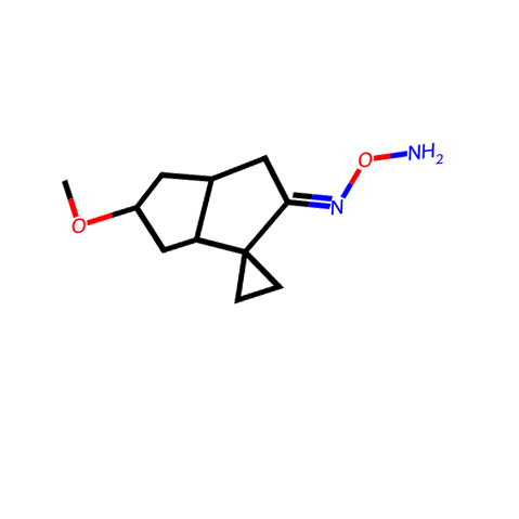 COC1CC2CC(=NON)C3(CC3)C2C1